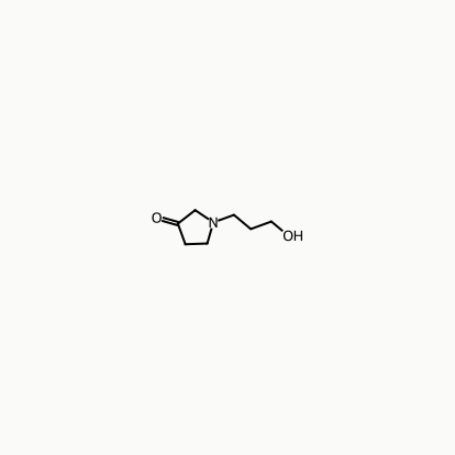 O=C1CCN(CCCO)C1